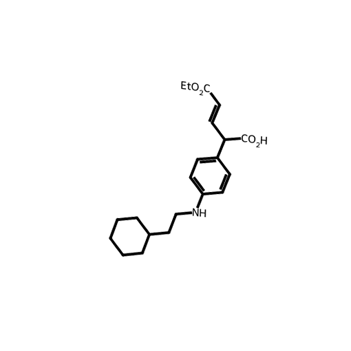 CCOC(=O)C=CC(C(=O)O)c1ccc(NCCC2CCCCC2)cc1